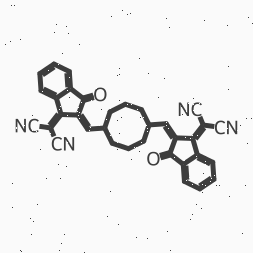 N#CC(C#N)=C1/C(=C/C2CCCC(/C=C3\C(=O)c4ccccc4C3=C(C#N)C#N)CCC2)C(=O)c2ccccc21